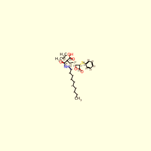 CCCCCCCCCCC[C@@H](C[C@H]1OC(=O)[C@@H]1Sc1ccccc1)[C@@](C(N)=O)(C(=O)O)C(C)C